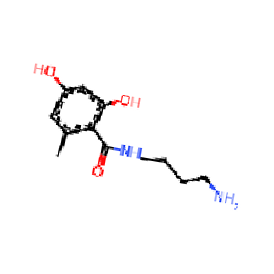 Cc1cc(O)cc(O)c1C(=O)NCCCCN